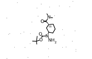 CN(C)C(=O)[C@H]1CCCC(N(N)C(=O)OC(C)(C)C)C1